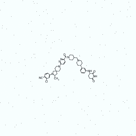 C[C@@H]1CC2(CCN(c3ccc(C(=O)N4CCC(CN5CCC(c6cccc(NC7CCC(=O)NC7=O)c6)CC5)CC4)nn3)CC2)CN1c1ccc(C#N)c(Cl)c1